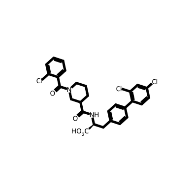 O=C(N[C@@H](Cc1ccc(-c2ccc(Cl)cc2Cl)cc1)C(=O)O)C1CCCN(C(=O)c2ccccc2Cl)C1